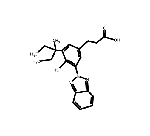 CCC(C)(CC)c1cc(CCC(=O)O)cc(-n2nc3ccccc3n2)c1O